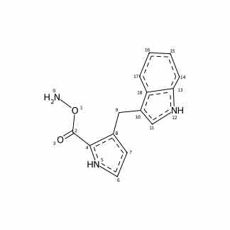 NOC(=O)c1[nH]ccc1Cc1c[nH]c2ccccc12